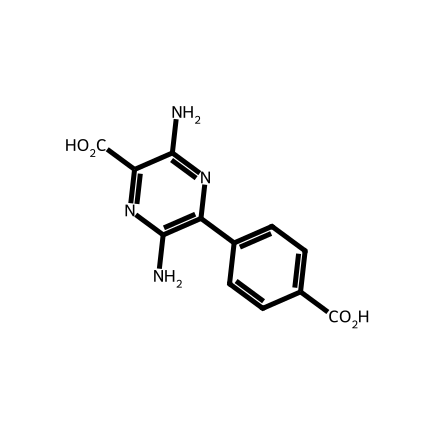 Nc1nc(-c2ccc(C(=O)O)cc2)c(N)nc1C(=O)O